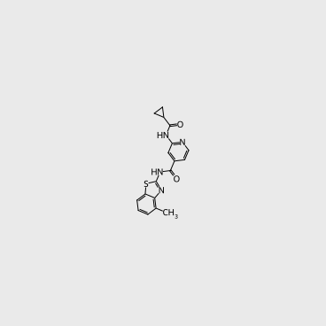 Cc1cccc2sc(NC(=O)c3ccnc(NC(=O)C4CC4)c3)nc12